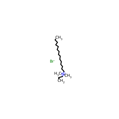 C=CC[N+](C)(C)CCCCCCCCCCCCCCC.[Br-]